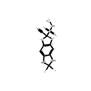 CNS(=O)(=O)C1(C#N)Oc2cc3c(cc2O1)NC(F)(F)N3